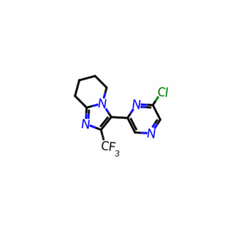 FC(F)(F)c1nc2n(c1-c1cncc(Cl)n1)CCCC2